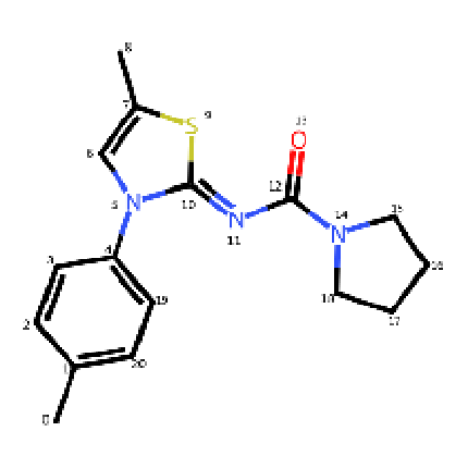 Cc1ccc(-n2cc(C)sc2=NC(=O)N2CCCC2)cc1